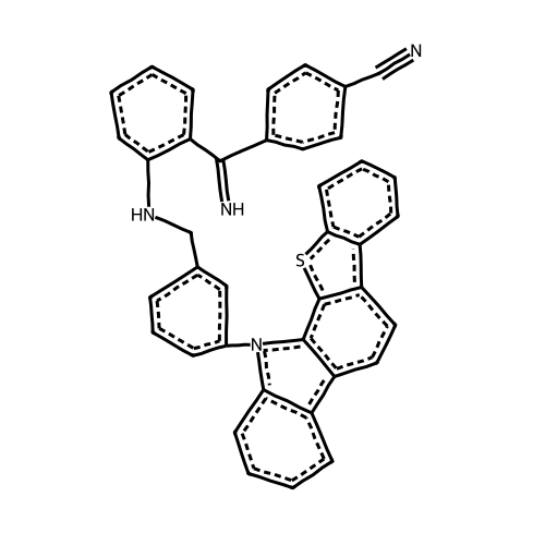 N#Cc1ccc(C(=N)c2ccccc2NCc2cccc(-n3c4ccccc4c4ccc5c6ccccc6sc5c43)c2)cc1